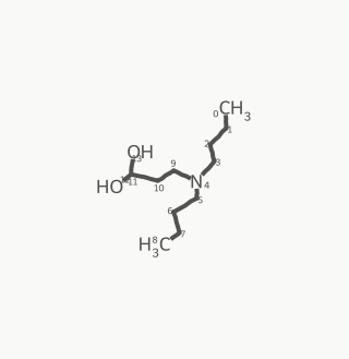 CCCCN(CCCC)CCC(O)O